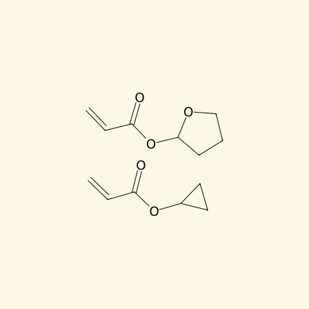 C=CC(=O)OC1CC1.C=CC(=O)OC1CCCO1